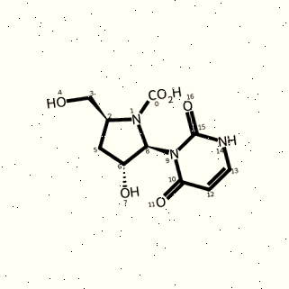 O=C(O)N1[C@H](CO)C[C@@H](O)[C@@H]1n1c(=O)cc[nH]c1=O